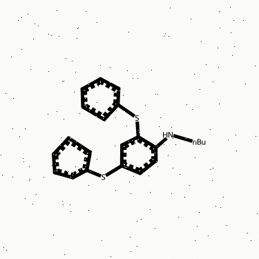 CCCCNc1ccc(Sc2ccccc2)cc1Sc1ccccc1